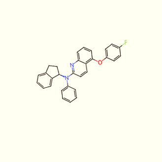 Fc1ccc(Oc2cccc3nc(N(c4ccccc4)[C@@H]4CCc5ccccc54)ccc23)cc1